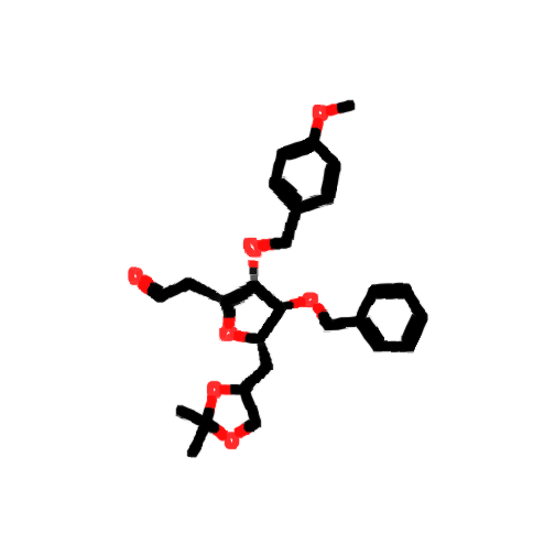 COc1ccc(CO[C@@H]2[C@@H](OCc3ccccc3)[C@@H](CC3COC(C)(C)O3)O[C@H]2CC=O)cc1